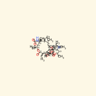 CC/C=C1\[C@H](C)C[C@]2(C)OCC(=O)CO[C@@H]([C@H](C)[C@H]2O[C@@H]2O[C@H](C)C[C@H](N(C)C)[C@H]2OC)[C@@H](C)C(=O)O[C@H](CC)[C@@]2(C)OC(=O)N[C@@H]2[C@H]1C